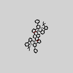 CCC(C)(C)c1cccc2c1oc1c(N(c3ccc(-c4ccccc4)cc3-c3ccccc3)c3ccc4ccc5c(N(c6ccc(-c7ccccc7)cc6-c6ccccc6)c6cccc7c6oc6c(C(C)(C)CC)cccc67)ccc6ccc3c4c65)cccc12